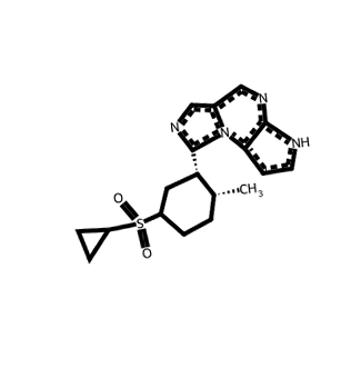 C[C@@H]1CCC(S(=O)(=O)C2CC2)C[C@@H]1c1ncc2cnc3[nH]ccc3n12